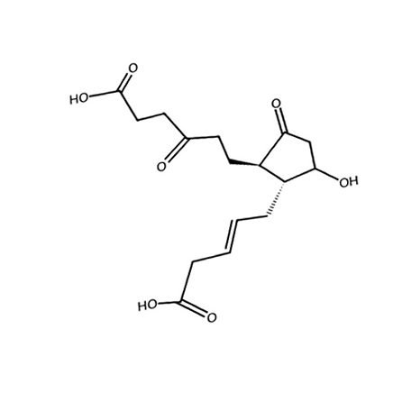 O=C(O)CC=CC[C@H]1C(O)CC(=O)[C@@H]1CCC(=O)CCC(=O)O